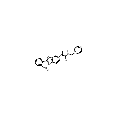 Cc1ccccc1-c1nc2ccc(NC(=O)NCc3ccncc3)cc2o1